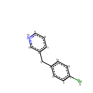 Brc1ccc(Cc2cccnc2)cc1